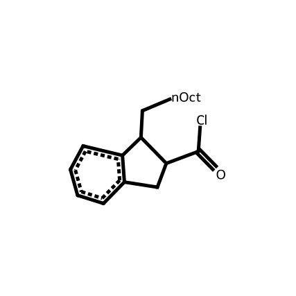 CCCCCCCCCC1c2ccccc2CC1C(=O)Cl